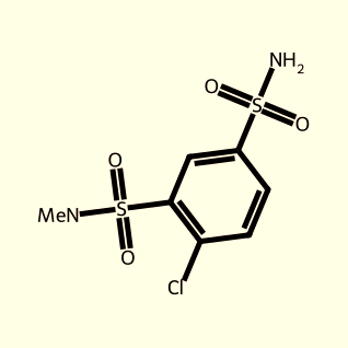 CNS(=O)(=O)c1cc(S(N)(=O)=O)ccc1Cl